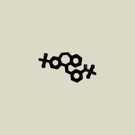 CS(=O)(=O)Nc1cccc(/C=C2\c3ccccc3CCc3cc(S(C)(=O)=O)ccc32)c1